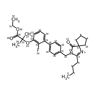 CCCCC1=NC2(CCCC2)C(=O)N1Cc1ccc(-c2cccc(OC(C)(C)C(=O)OCC)c2F)cc1